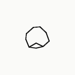 C1CCCC2CC(CC1)C2